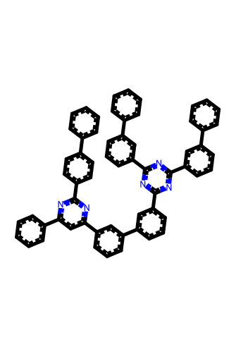 c1ccc(-c2ccc(-c3nc(-c4ccccc4)cc(-c4cccc(-c5cccc(-c6nc(-c7cccc(-c8ccccc8)c7)nc(-c7cccc(-c8ccccc8)c7)n6)c5)c4)n3)cc2)cc1